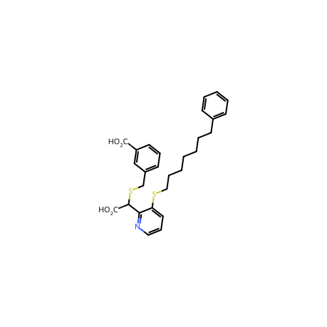 O=C(O)c1cccc(CSC(C(=O)O)c2ncccc2SCCCCCCCc2ccccc2)c1